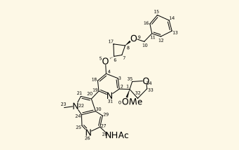 CO[C@]1(c2cc(O[C@H]3C[C@H](OCc4ccccc4)C3)cc(-c3cn(C)c4cnc(NC(C)=O)cc34)n2)CCOC1